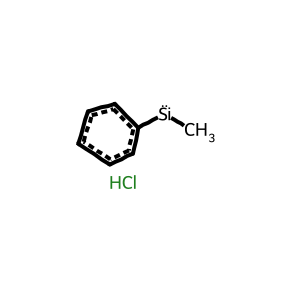 C[Si]c1ccccc1.Cl